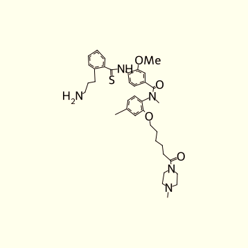 COc1cc(C(=O)N(C)c2ccc(C)cc2OCCCCCC(=O)N2CCN(C)CC2)ccc1NC(=S)c1ccccc1CCCN